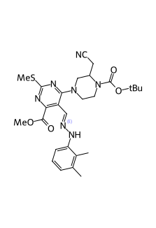 COC(=O)c1nc(SC)nc(N2CCN(C(=O)OC(C)(C)C)C(CC#N)C2)c1/C=N/Nc1cccc(C)c1C